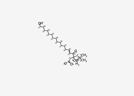 C[N+](C)(C)CC(O)(CC(=O)[O-])C(=O)C=CCCCCCCCCCCCCCO